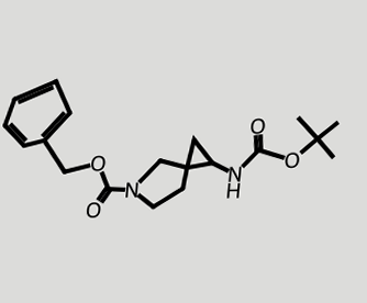 CC(C)(C)OC(=O)NC1CC12CCN(C(=O)OCc1ccccc1)C2